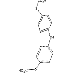 O=C(O)Sc1ccc(Pc2ccc(SC(=O)O)cc2)cc1